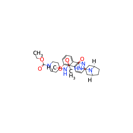 CCOC(=O)N1CCC(NC(=O)c2ccc(N3[C@@H]4CC[C@H]3C[C@@H](NC(=O)c3cccc(OC)c3C)C4)nc2)CC1